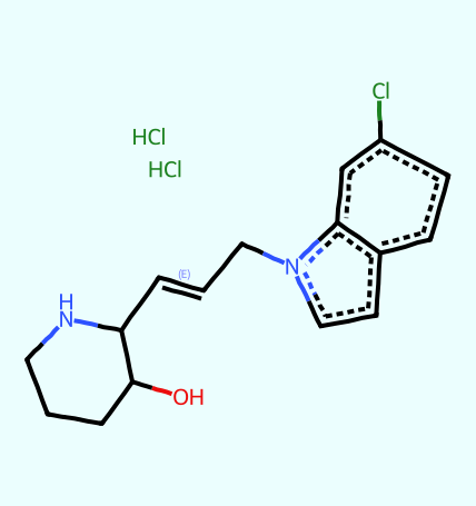 Cl.Cl.OC1CCCNC1/C=C/Cn1ccc2ccc(Cl)cc21